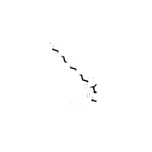 CC(NC(=O)C(C)NC(=O)CCOCCOCCOCCN)C(=O)O